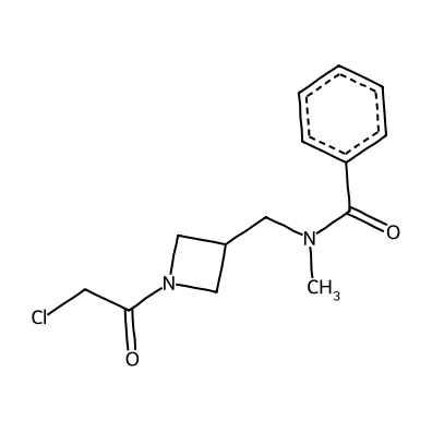 CN(CC1CN(C(=O)CCl)C1)C(=O)c1ccccc1